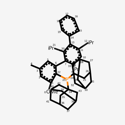 COc1cc(C)cc(-c2c(C(C)C)cc(C(C)C)c(-c3ccccc3)c2C(C)C)c1P(C12CC3CC(CC(C3)C1)C2)C12CC3CC(CC(C3)C1)C2